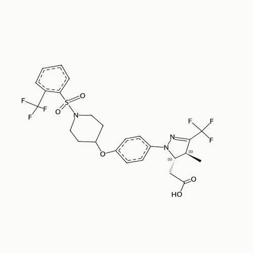 C[C@@H]1C(C(F)(F)F)=NN(c2ccc(OC3CCN(S(=O)(=O)c4ccccc4C(F)(F)F)CC3)cc2)[C@H]1CC(=O)O